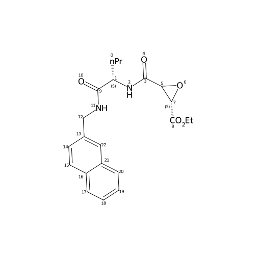 CCC[C@H](NC(=O)C1O[C@@H]1C(=O)OCC)C(=O)NCc1ccc2ccccc2c1